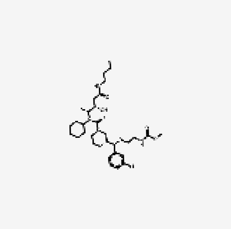 CCCCNC(=O)C[C@H](O)[C@H](C)N(C(=O)N1CCC[C@@H]([C@@H](OCCNC(=O)OC)c2cccc(Cl)c2)C1)C1CCCCC1